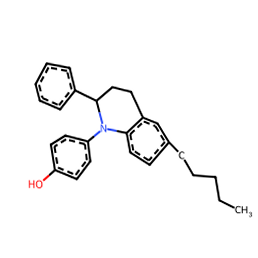 CCCCCc1ccc2c(c1)CCC(c1ccccc1)N2c1ccc(O)cc1